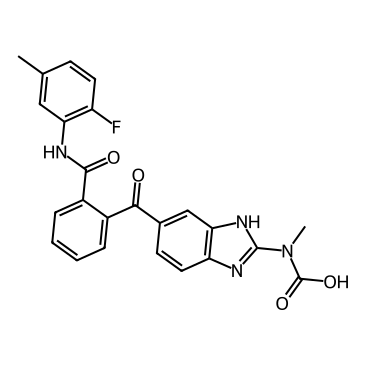 Cc1ccc(F)c(NC(=O)c2ccccc2C(=O)c2ccc3nc(N(C)C(=O)O)[nH]c3c2)c1